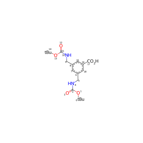 CC(C)(C)OC(=O)NCc1cc(CNC(=O)OC(C)(C)C)cc(C(=O)O)c1